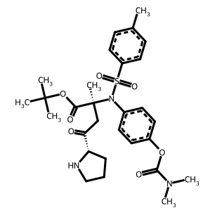 Cc1ccc(S(=O)(=O)N(c2ccc(OC(=O)N(C)C)cc2)[C@@](C)(CC(=O)[C@@H]2CCCN2)C(=O)OC(C)(C)C)cc1